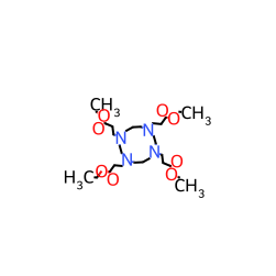 CCOC(=O)CCN1CCCN(CCC(=O)OCC)CCN(CCC(=O)OCC)CCCN(CCC(=O)OCC)CC1